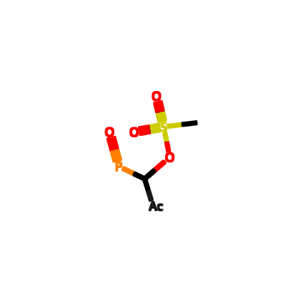 CC(=O)C(OS(C)(=O)=O)P=O